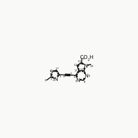 Cc1nc(C#Cc2ncnc3c2cc(C(=O)O)n3C)cs1